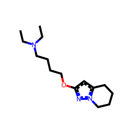 CCN(CC)CCCCOc1cc2n(n1)CCCC2